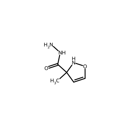 CC1(C(=O)NN)C=CON1